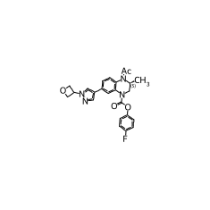 CC(=O)N1c2ccc(-c3cnn(C4COC4)c3)cc2N(C(=O)Oc2ccc(F)cc2)C[C@@H]1C